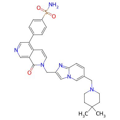 CC1(C)CCN(Cc2ccc3nc(Cn4ccc5c(-c6ccc(S(N)(=O)=O)cc6)cncc5c4=O)cn3c2)CC1